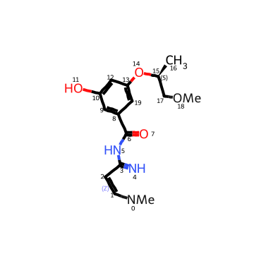 CN/C=C\C(=N)NC(=O)c1cc(O)cc(O[C@@H](C)COC)c1